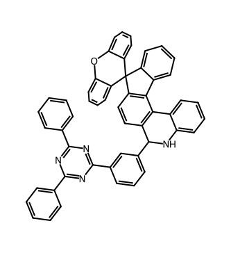 c1ccc(-c2nc(-c3ccccc3)nc(-c3cccc(C4Nc5ccccc5-c5c4ccc4c5-c5ccccc5C45c4ccccc4Oc4ccccc45)c3)n2)cc1